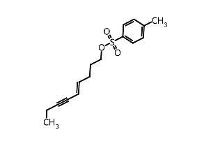 CCC#CC=CCCCOS(=O)(=O)c1ccc(C)cc1